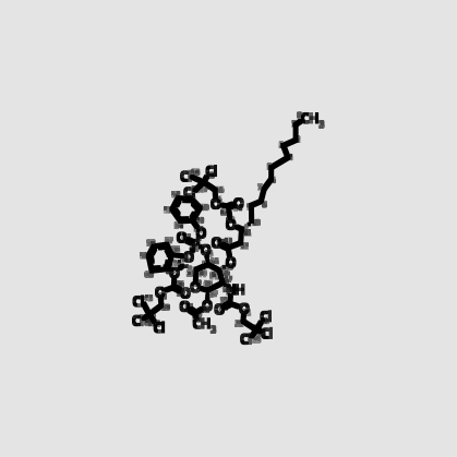 CCCCCCCCCCC[C@H](CC(=O)O[C@@H]1[C@H](NC(=O)OCC(Cl)(Cl)Cl)[C@@H](OC(C)=O)O[C@H](COC(=O)OCC(Cl)(Cl)Cl)[C@H]1OP(=O)(Oc1ccccc1)Oc1ccccc1)OC(=O)OCC(Cl)(Cl)Cl